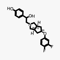 Oc1ccc(C(O)CN2C[C@H]3C[C@@H](Oc4ccc(F)c(F)c4)C[C@H]3C2)cc1